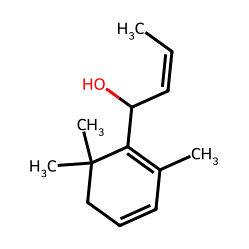 C/C=C\C(O)C1=C(C)C=CCC1(C)C